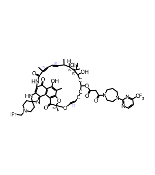 C/C1=C/C=C/C(C)[C@H](O)[C@@H](C)C(O)CC(OC(=O)CC(=O)N2CCCN(c3nccc(C(F)(F)F)n3)CC2)CC/C=C/O[C@@]2(C)Oc3c(C)c(O)c4c(c3C2=O)C2=NC3(CCN(CC(C)C)CC3)NC2=C(NC1=O)C4=O